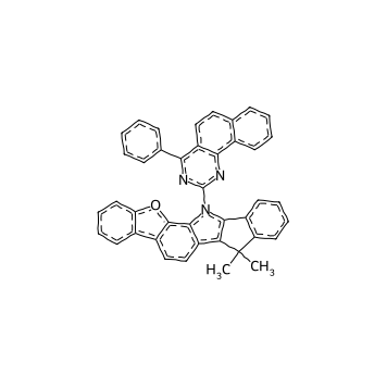 CC1(C)c2ccccc2-c2c1c1ccc3c4ccccc4oc3c1n2-c1nc(-c2ccccc2)c2ccc3ccccc3c2n1